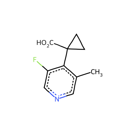 Cc1cncc(F)c1C1(C(=O)O)CC1